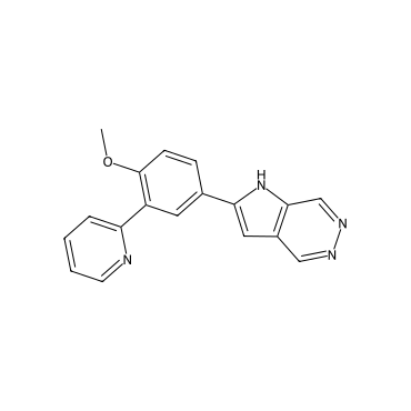 COc1ccc(-c2cc3cnncc3[nH]2)cc1-c1ccccn1